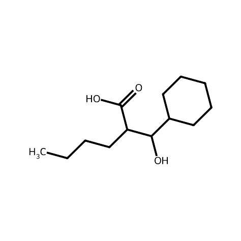 CCCCC(C(=O)O)C(O)C1CCCCC1